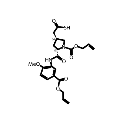 C=CCOC(=O)c1ccc(OC)c(NC(=O)[C@@H]2C[C@@H](CC(=O)S)CN2C(=O)OCC=C)c1